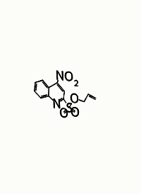 C=CCOS(=O)(=O)c1cc([N+](=O)[O-])c2ccccc2n1